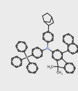 CC1(C)c2ccccc2-c2c(-c3cccc4ccccc34)cc(N(c3ccc(C4CC5CCC4C5)cc3)c3ccc([Si](c4ccccc4)(c4ccccc4)c4ccccc4)cc3)cc21